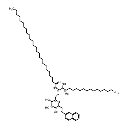 CCCCCCCCCCCCCCCCCCCCCCCCCC(=O)N[C@@H](CO[C@H]1OC(CSc2ccc3ccccc3c2)[C@H](O)[C@H](O)C1O)C(O)[C@H](O)CCCCCCCCCCCCCC